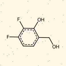 OCc1ccc(F)c(F)c1O